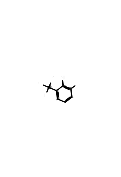 Nc1c(S)cccc1C(F)(F)F